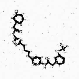 O=C(Cc1cccc(OC(F)(F)F)c1)Nc1ccc(CCCCc2nnc(NC(=O)Cc3cccc(Cl)c3)s2)nn1